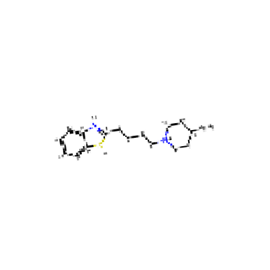 CCCC1CCN(CCCCc2nc3ccccc3s2)CC1